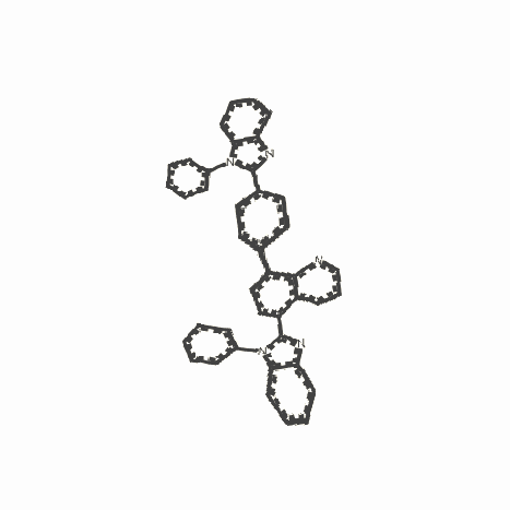 c1ccc(-n2c(-c3ccc(-c4ccc(-c5nc6ccccc6n5-c5ccccc5)c5cccnc45)cc3)nc3ccccc32)cc1